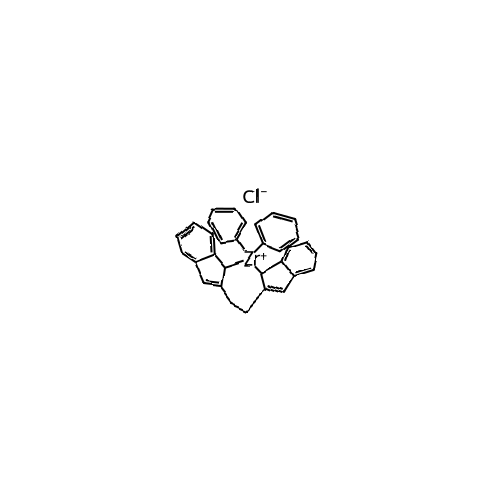 C1=C2CCC3=Cc4ccccc4[CH]3[Zr+]([c]3ccccc3)([c]3ccccc3)[CH]2c2ccccc21.[Cl-]